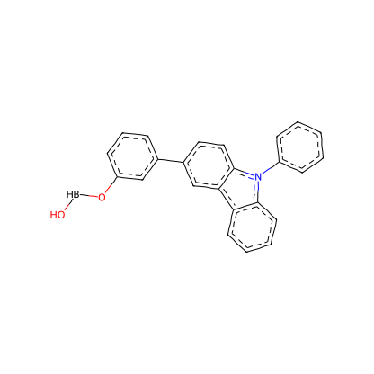 OBOc1cccc(-c2ccc3c(c2)c2ccccc2n3-c2ccccc2)c1